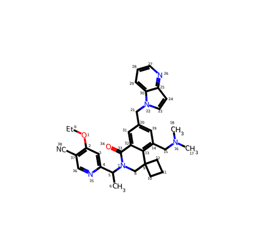 CCOc1cc(C(C)N2CC3(CCC3)c3c(CN(C)C)cc(Cn4ccc5ncccc54)cc3C2=O)ncc1C#N